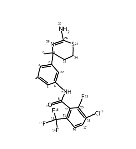 CC1(c2cccc(NC(=O)c3c(C(F)(F)F)ccc(Cl)c3F)c2)CCSC(N)=N1